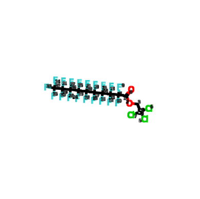 O=C(OC[Si](Cl)(Cl)Cl)C(F)(F)C(F)(F)C(F)(F)C(F)(F)C(F)(F)C(F)(F)C(F)(F)C(F)(F)C(F)(F)F